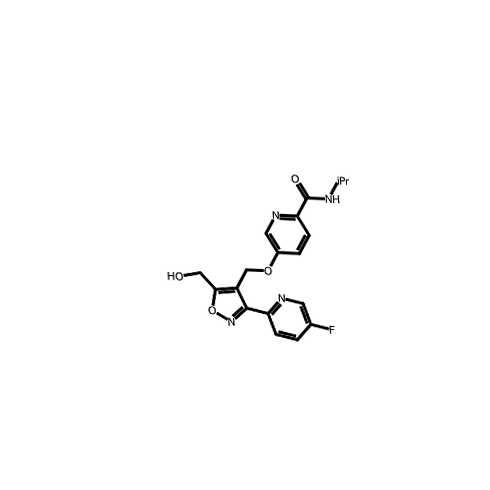 CC(C)NC(=O)c1ccc(OCc2c(-c3ccc(F)cn3)noc2CO)cn1